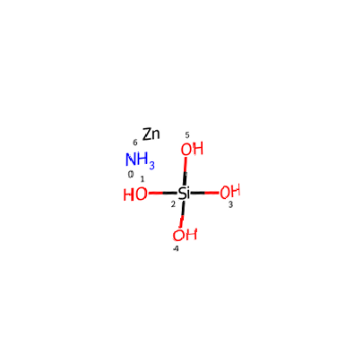 N.O[Si](O)(O)O.[Zn]